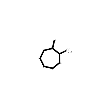 CC1CCCCCC1C(F)(F)F